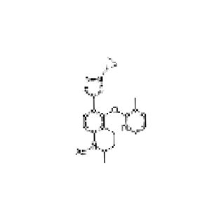 CC(=O)N1c2ccc(-c3cnn(C4CC4)c3)c(Oc3ncccc3C)c2CCC1C